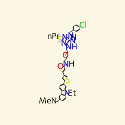 CCCSc1nc(NCCOCCNC(=O)C=Cc2csc(-c3ccc4c5cc(CNC)ccc5n(CC)c4c3)c2)c2nnn(Cc3ccc(Cl)cc3)c2n1